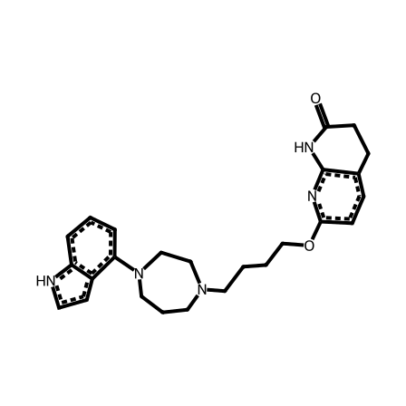 O=C1CCc2ccc(OCCCCN3CCCN(c4cccc5[nH]ccc45)CC3)nc2N1